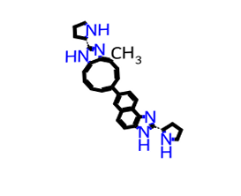 Cc1ccc(-c2ccc3c(ccc4[nH]c([C@@H]5CCCN5)nc43)c2)ccccc2[nH]c([C@@H]3CCCN3)nc12